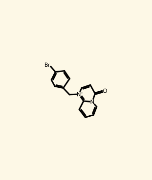 O=c1cc[n+](Cc2ccc(Br)cc2)c2ccccn12